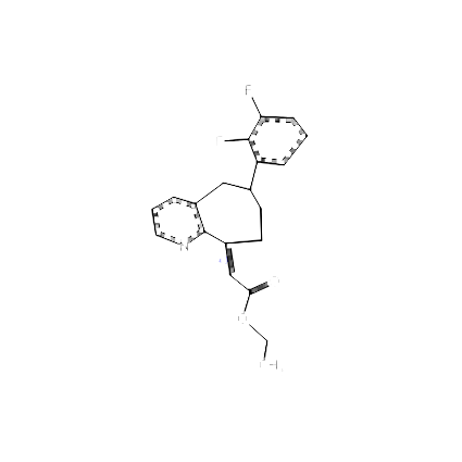 CCOC(=O)/C=C1\CCC(c2cccc(F)c2F)Cc2cccnc21